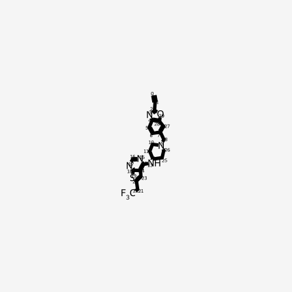 C#Cc1nc2ccc(CN3CCC(Nc4ncnc5sc(CC(F)(F)F)cc45)CC3)cc2o1